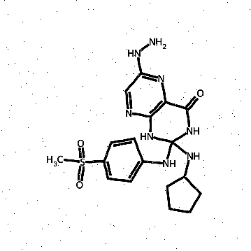 CS(=O)(=O)c1ccc(NC2(NC3CCCC3)NC(=O)c3nc(NN)cnc3N2)cc1